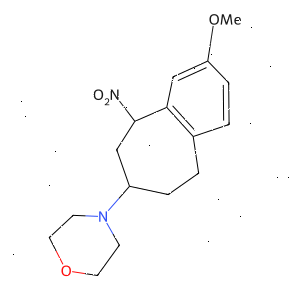 COc1ccc2c(c1)C([N+](=O)[O-])CC(N1CCOCC1)CC2